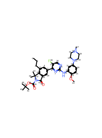 CCCc1cc(-c2nc(Nc3cc(N4CCN(C)CC4)ccc3OC)ncc2F)cc2c1C(C)(C)N(C(=O)OC(C)(C)C)C2=O